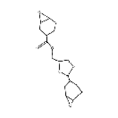 O=C(OCC1COC(C2CCC3OC3C2)O1)C1CCC2OC2C1